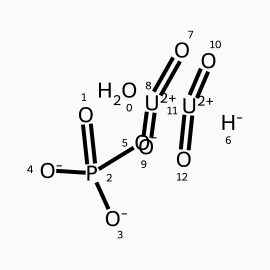 O.O=P([O-])([O-])[O-].[H-].[O]=[U+2]=[O].[O]=[U+2]=[O]